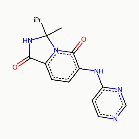 CC(C)C1(C)NC(=O)c2ccc(Nc3ccncn3)c(=O)n21